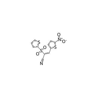 N#CC(=Cc1ccc([N+](=O)[O-])s1)S(=O)(=O)c1cccs1